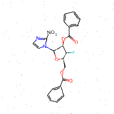 O=C(OC[C@H]1OC(n2ccnc2[N+](=O)[O-])[C@@H](OC(=O)c2ccccc2)[C@H]1F)c1ccccc1